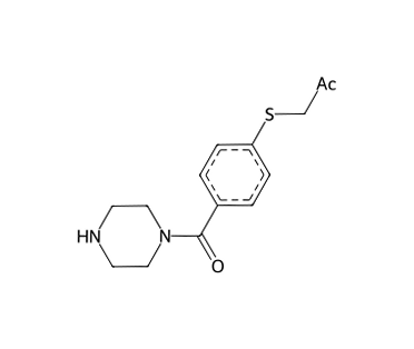 CC(=O)CSc1ccc(C(=O)N2CCNCC2)cc1